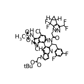 Cn1nc(NS(C)(=O)=O)c2c(Cl)ccc(-c3cc4c(ccn4CC(=O)OC(C)(C)C)nc3C(Cc3cc(F)cc(F)c3)NC(=O)Cn3nc(C(F)F)c4c3C(F)(F)[C@@H]3C[C@H]43)c21